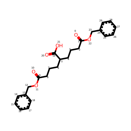 O=C(CCCC(CCCC(=O)OCc1ccccc1)C(=O)O)OCc1ccccc1